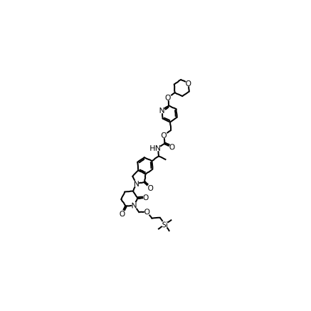 CC(NC(=O)OCc1ccc(OC2CCOCC2)nc1)c1ccc2c(c1)C(=O)N(C1CCC(=O)N(COCC[Si](C)(C)C)C1=O)C2